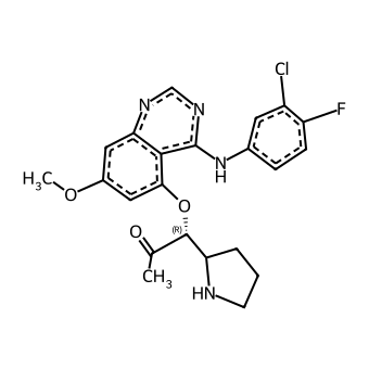 COc1cc(O[C@@H](C(C)=O)C2CCCN2)c2c(Nc3ccc(F)c(Cl)c3)ncnc2c1